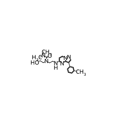 Cc1cccc(-c2cnn3ccc(NCCN(CCO)C(=O)N(C)C)nc23)c1